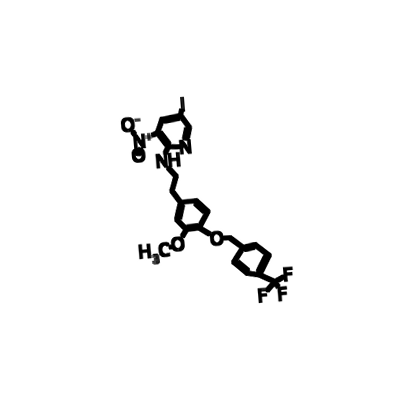 COc1cc(CCNc2ncc(I)cc2[N+](=O)[O-])ccc1OCc1ccc(C(F)(F)F)cc1